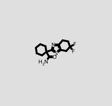 NC(=O)C1(c2nc3c(s2)CC(F)(F)CC3)CCCCC1